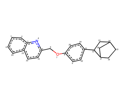 c1ccc2nc(COc3ccc([C]4CC5CCC4C5)cc3)ccc2c1